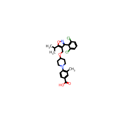 Cc1cc(C(=O)O)ccc1N1CCC(OCc2c(-c3c(Cl)cccc3Cl)noc2C(C)C)CC1